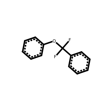 FC(F)(Oc1cc[c]cc1)c1ccccc1